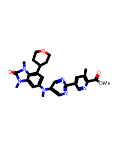 COC(=O)c1ncc(-c2ncc(N(C)c3cc(C4CCOCC4)c4c(c3)n(C)c(=O)n4C)cn2)cc1C